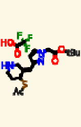 CC(=O)SC1CCNC/C1=C\c1ccn(CC(=O)OC(C)(C)C)n1.O=C(O)C(F)(F)F